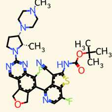 C[C@H]1[C@@H](N2CCN(C)CC2)CCN1c1ncc2c3c(c(-c4ncc(F)c5sc(NC(=O)OC(C)(C)C)c(C#N)c45)c(F)c2n1)COC3